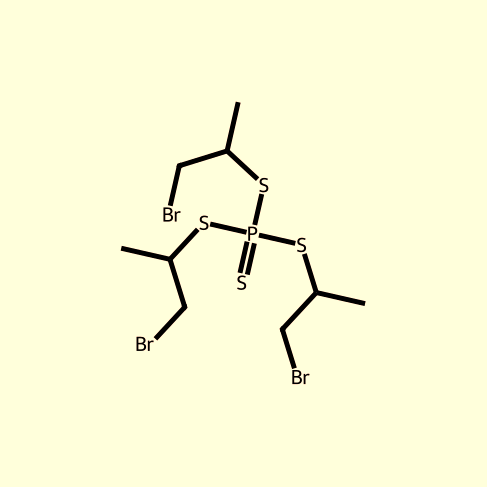 CC(CBr)SP(=S)(SC(C)CBr)SC(C)CBr